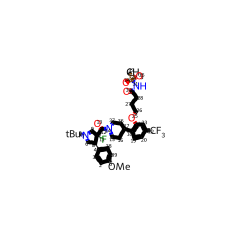 COc1ccc([C@@H]2CN(C(C)(C)C)C[C@@]2(F)C(=O)N2CCC(c3ccc(C(F)(F)F)cc3OCCCC(=O)NS(C)(=O)=O)CC2)cc1